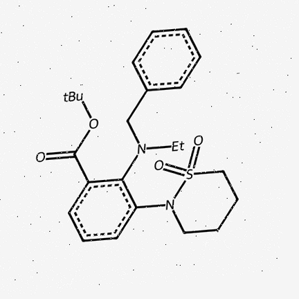 CCN(Cc1ccccc1)c1c(C(=O)OC(C)(C)C)cccc1N1CCCCS1(=O)=O